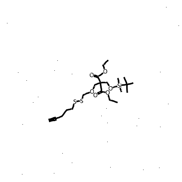 C#CCCCSSCOCC(CO[Si](C)(C)C(C)(C)C)(C(=O)OCC)C(=O)OCC